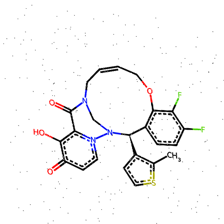 Cc1sccc1[C@@H]1c2ccc(F)c(F)c2OC/C=C\CN2CN1n1ccc(=O)c(O)c1C2=O